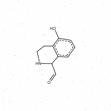 O=CC1NCCc2c(O)cccc21